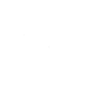 COC(CNc1ccc(C(F)(F)F)cc1)COc1ccccc1COC(C)=O